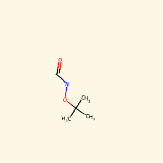 CC(C)(C)O[N][C]=O